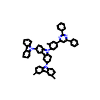 Cc1ccc2c(c1)c1cc(C)ccc1n2-c1ccc2c(c1)c1cc(-n3c4ccccc4c4ccccc43)ccc1n2-c1ccc(-c2cc(-c3ccccc3)nc(-c3ccccc3)n2)cc1C